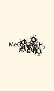 COc1ccnc(C(=O)N[C@@H](C)C(=O)O[C@H](C2CCCCC2)[C@H](C)Oc2ccccc2)c1OCOC(C)=O